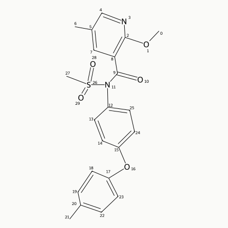 COc1ncc(C)cc1C(=O)N(c1ccc(Oc2ccc(C)cc2)cc1)S(C)(=O)=O